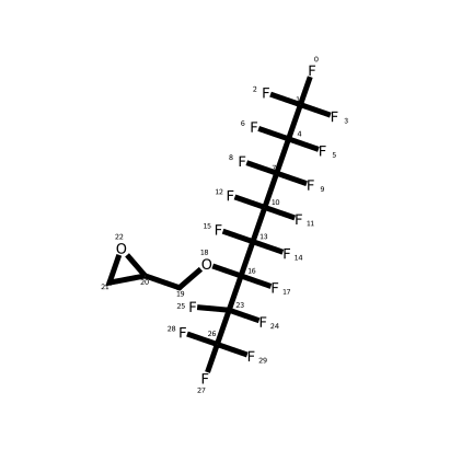 FC(F)(F)C(F)(F)C(F)(F)C(F)(F)C(F)(F)C(F)(OCC1CO1)C(F)(F)C(F)(F)F